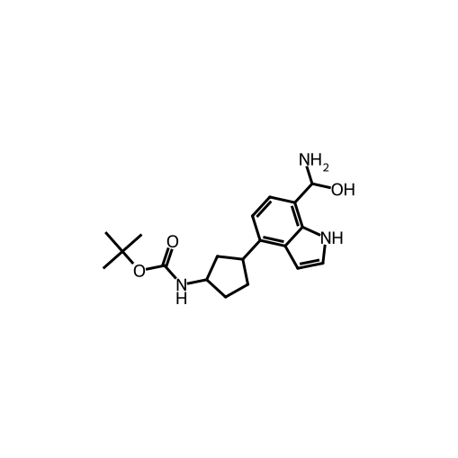 CC(C)(C)OC(=O)NC1CCC(c2ccc(C(N)O)c3[nH]ccc23)C1